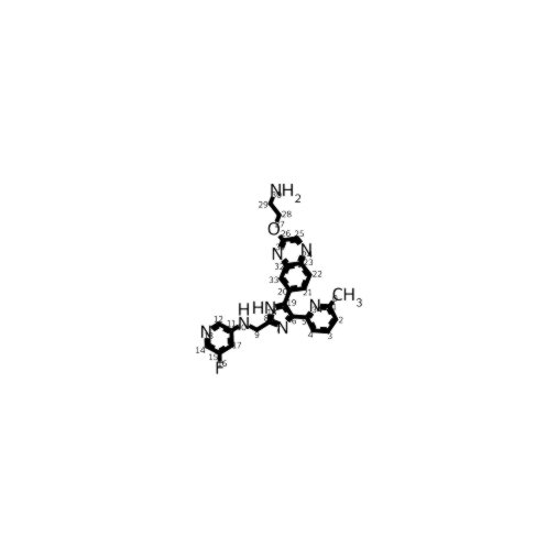 Cc1cccc(-c2nc(CNc3cncc(F)c3)[nH]c2-c2ccc3ncc(OCCN)nc3c2)n1